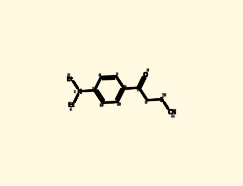 CCN(CC)c1ccc(C(=O)CSC#N)cc1